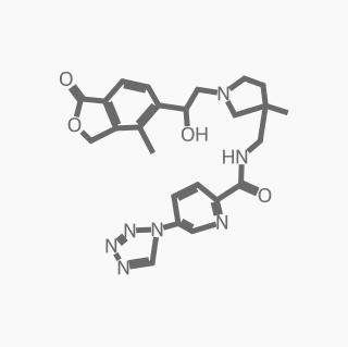 Cc1c(C(O)CN2CCC(C)(CNC(=O)c3ccc(-n4cnnn4)cn3)C2)ccc2c1COC2=O